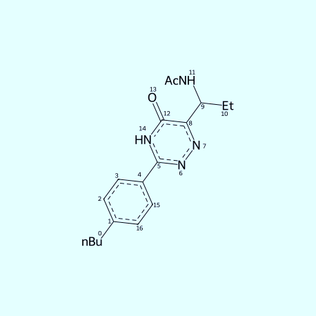 CCCCc1ccc(-c2nnc(C(CC)NC(C)=O)c(=O)[nH]2)cc1